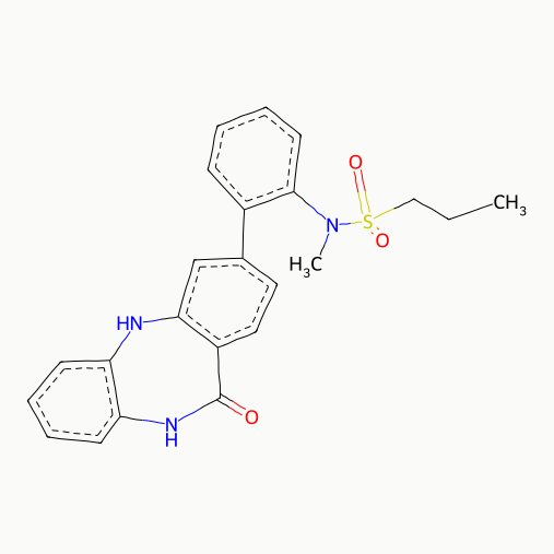 CCCS(=O)(=O)N(C)c1ccccc1-c1ccc2c(c1)Nc1ccccc1NC2=O